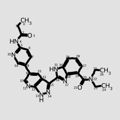 CCC(=O)Nc1ccc(-c2cnc3[nH]nc(-c4nc5c(C(=O)N(CC)CC)cccc5[nH]4)c3c2)cn1